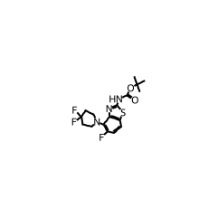 CC(C)(C)OC(=O)Nc1nc2c(N3CCC(F)(F)CC3)c(F)ccc2s1